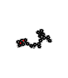 c1ccc(N(c2ccc(-c3ccc4oc5cc(-c6cc(-c7ccc(N(c8ccc(-c9cccc%10c9sc9ccccc9%10)cc8)c8ccc9c(c8)C8(c%10ccccc%10-c%10ccccc%108)c8ccccc8-9)cc7)cc7ccccc67)ccc5c4c3)cc2)c2ccc3c(c2)C2(c4ccccc4-c4ccccc42)c2ccccc2-3)cc1